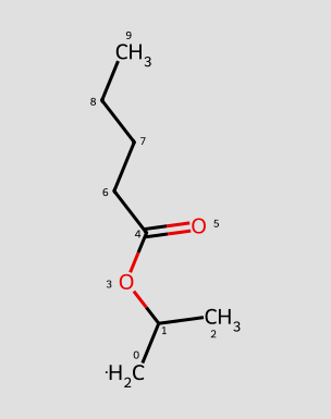 [CH2]C(C)OC(=O)CCCC